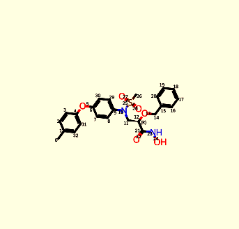 Cc1ccc(Oc2ccc(N(C[C@@H](OCc3ccccc3)C(=O)NO)S(C)(=O)=O)cc2)cc1